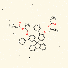 C=CC(=O)OC(C)COc1ccc(C2(c3ccc(OCC(C)OC(=O)C=C)c(-c4ccccc4)c3)c3ccccc3-c3ccccc32)cc1-c1ccccc1